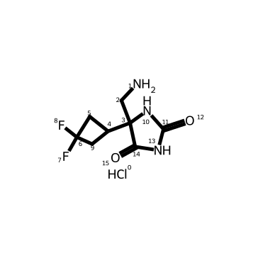 Cl.NCC1(C2CC(F)(F)C2)NC(=O)NC1=O